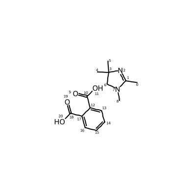 CC1=NC(C)(C)CN1C.O=C(O)c1ccccc1C(=O)O